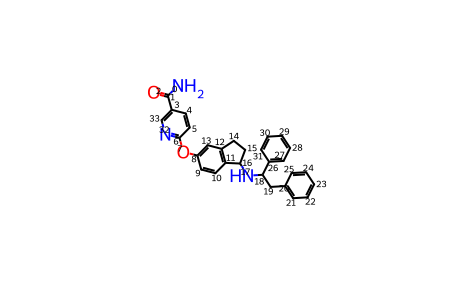 NC(=O)c1ccc(Oc2ccc3c(c2)CCC3NC(Cc2ccccc2)c2ccccc2)nc1